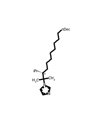 CCCCCCCCCCCCCCCCCC[C@@H](C(C)C)C(C)(C)n1ccnc1